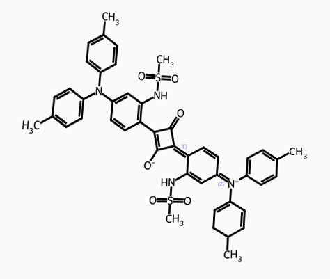 Cc1ccc(N(c2ccc(C)cc2)c2ccc(C3=C([O-])/C(=C4C=C/C(=[N+](/C5=CCC(C)C=C5)c5ccc(C)cc5)C=C/4NS(C)(=O)=O)C3=O)c(NS(C)(=O)=O)c2)cc1